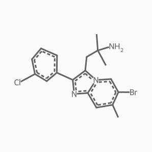 Cc1cc2nc(-c3cccc(Cl)c3)c(CC(C)(C)N)n2cc1Br